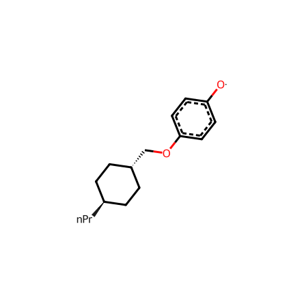 CCC[C@H]1CC[C@H](COc2ccc([O])cc2)CC1